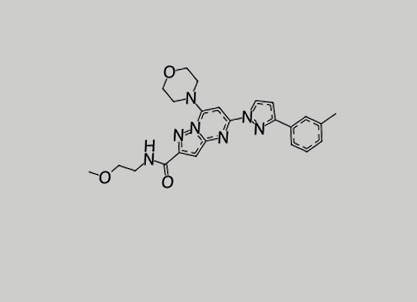 COCCNC(=O)c1cc2nc(-n3ccc(-c4cccc(C)c4)n3)cc(N3CCOCC3)n2n1